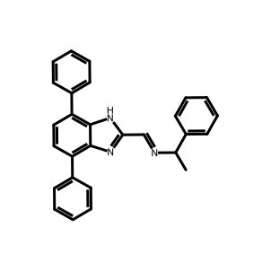 CC(/N=C/c1nc2c(-c3ccccc3)ccc(-c3ccccc3)c2[nH]1)c1ccccc1